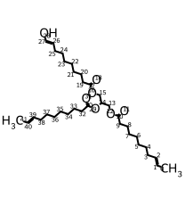 CC=CCCCCCCCC(=O)OCC(COC(=O)CCCCCCCC=CO)OC(=O)CCCCCCCC=CC